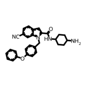 N#Cc1ccc2cc(C(=O)NC3CCC(N)CC3)n(Cc3ccc(Oc4ccccc4)cc3)c2c1